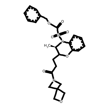 C[C@@H]1C(CCC(=O)N2CC3(COC3)C2)Oc2ccccc2N1S(=O)(=O)C(=O)OCc1ccccc1